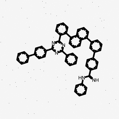 N=C(Nc1ccccc1)c1ccc(-c2cccc(-c3cccc4c(-c5ccccc5-c5nc(-c6ccccc6)nc(-c6ccc(-c7ccccc7)cc6)n5)cccc34)c2)cc1